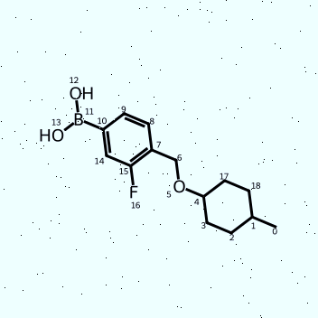 CC1CCC(OCc2ccc(B(O)O)cc2F)CC1